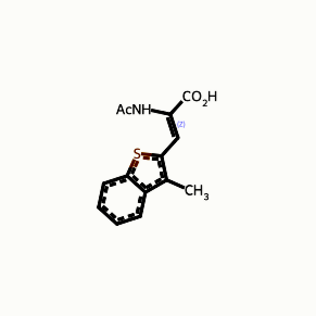 CC(=O)N/C(=C\c1sc2ccccc2c1C)C(=O)O